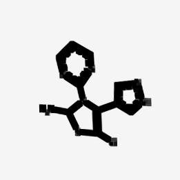 NC1SC(Cl)=C(c2cn[nH]c2)N1c1ncccn1